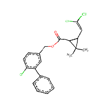 CC1(C)C(C=C(Cl)Cl)C1C(=O)OCc1ccc(Cl)c(-c2ccccc2)c1